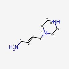 NCC=CCN1CCNCC1